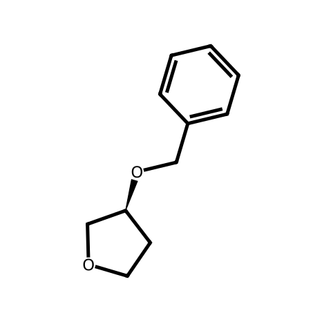 c1ccc(CO[C@H]2CCOC2)cc1